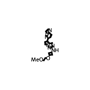 COCCO[C@H]1C[C@@H](Nc2ncc3c(-c4ccc5nccn5n4)ccn3n2)C1